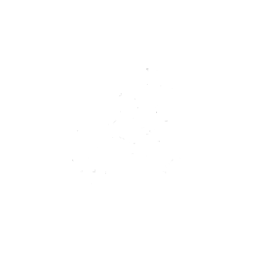 CCC1=C(c2ccc(C3=C(CC)CC(C)(CC)C=C3)c3c2C(=O)c2ccccc2C3=O)C=CC(C)(CC)C1